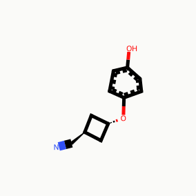 N#C[C@H]1C[C@H](Oc2ccc(O)cc2)C1